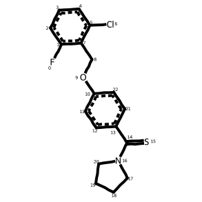 Fc1cccc(Cl)c1COc1ccc(C(=S)N2CCCC2)cc1